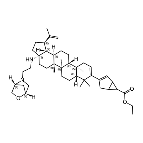 C=C(C)[C@@H]1CC[C@]2(NCCN3C[C@H]4C[C@@H]3CO4)CC[C@]3(C)[C@H](CC[C@@H]4[C@@]5(C)CC=C(C6=CC7C(C6)C7C(=O)OCC)C(C)(C)[C@@H]5CC[C@]43C)[C@@H]12